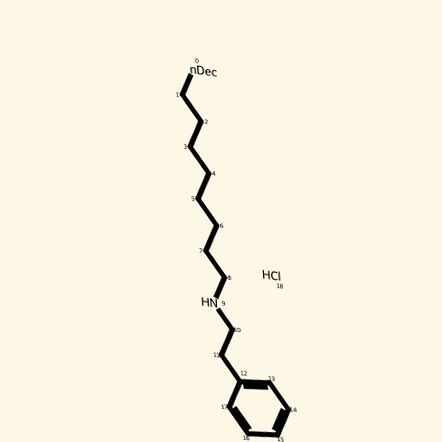 CCCCCCCCCCCCCCCCCCNCCc1ccccc1.Cl